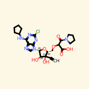 C#C[C@@]1(O)[C@@H](COC(C(=O)O)C(=O)N2CCCC2)O[C@@H](n2cnc3c(NC4CCCC4)nc(Cl)nc32)[C@@H]1O